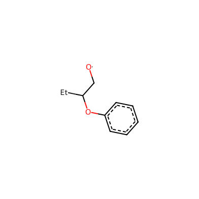 CCC(C[O])Oc1ccccc1